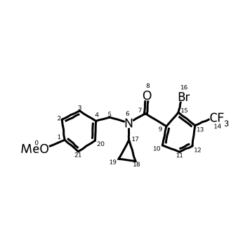 COc1ccc(CN(C(=O)c2cccc(C(F)(F)F)c2Br)C2CC2)cc1